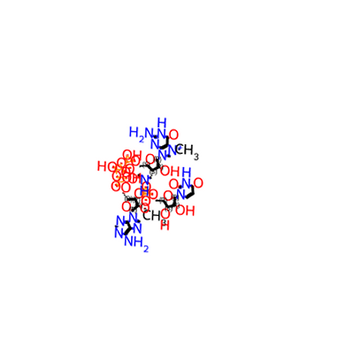 CO[C@@H]1[C@H](OP(=O)([O-])OC[C@H]2O[C@@H](n3ccc(=O)[nH]c3=O)[C@H](O)[C@@H]2O)[C@@H](COP(=O)(O)OP(=O)(O)OP(=O)(O)OC[C@H]2O[C@@H](n3c[n+](C)c4c(=O)[nH]c(N)nc43)[C@H](O)[C@@H]2CNC=O)O[C@H]1n1cnc2c(N)ncnc21